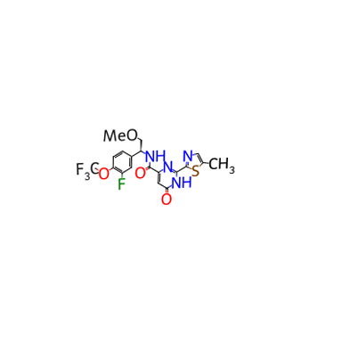 COC[C@@H](NC(=O)c1cc(=O)[nH]c(-c2ncc(C)s2)n1)c1ccc(OC(F)(F)F)c(F)c1